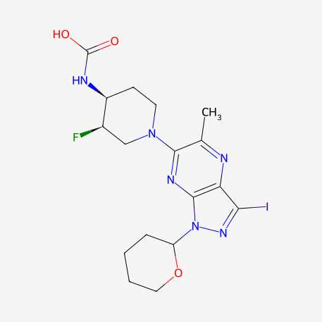 Cc1nc2c(I)nn(C3CCCCO3)c2nc1N1CC[C@H](NC(=O)O)[C@H](F)C1